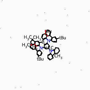 CC(C)(C)c1ccc(N2c3cc(C(C)(C)C)ccc3B3c4cc5c(cc4N(c4ccc(C(C)(C)C)cc4-c4ccccc4)c4cc(N6c7ccccc7C7(C)CCCCC67C)cc2c43)C(C)(C)CC5(C)C)c(-c2ccccc2)c1